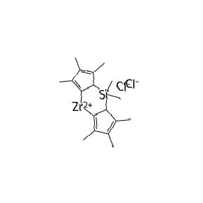 CC1=C(C)C2[C](=C1C)[Zr+2][C]1=C(C)C(C)=C(C)C1[Si]2(C)C.[Cl-].[Cl-]